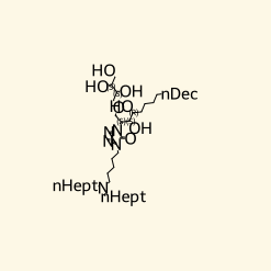 CCCCCCCCCCCCCC[C@@H](O)[C@@H](O)[C@H](COC[C@H](O)[C@@H](O)CO)n1nnn(CCCCCN(CCCCCCC)CCCCCCC)c1=O